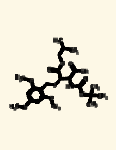 COc1cc(OC)c(CS[C@@H](C(=O)OCC(C)C)[C@H](NC(=O)OC(C)(C)C)C(=O)O)c(OC)c1